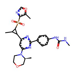 CNC(=O)Nc1ccc(-c2nc(C3C(C)C3S(=O)(=O)c3ncoc3C)cc(N3CCOC[C@@H]3C)n2)cc1